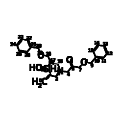 C=CCN(CC(=O)COCc1ccccc1)C[C@@H](COCc1ccccc1)[SiH2]O